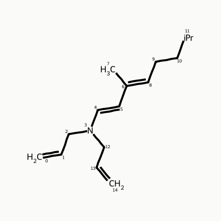 C=CCN(/C=C/C(C)=C/CCC(C)C)CC=C